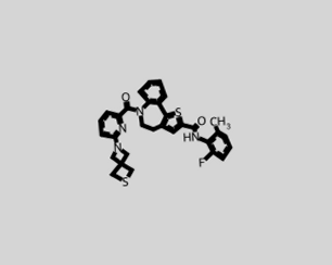 Cc1cccc(F)c1NC(=O)c1cc2c(s1)-c1ccccc1N(C(=O)c1cccc(N3CC4(CSC4)C3)n1)CC2